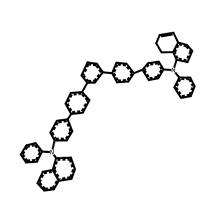 C1=Cc2cccc(N(c3ccccc3)c3ccc(-c4ccc(-c5cccc(-c6ccc(-c7ccc(N(c8ccccc8)c8cccc9ccccc89)cc7)cc6)c5)cc4)cc3)c2CC1